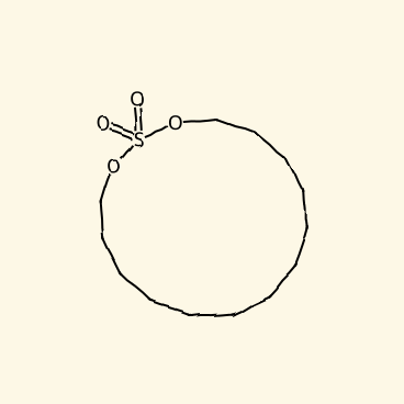 O=S1(=O)OCCCCCCCCCCCCCO1